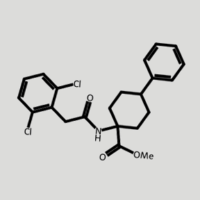 COC(=O)C1(NC(=O)Cc2c(Cl)cccc2Cl)CCC(c2ccccc2)CC1